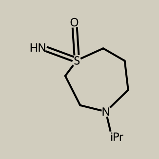 CC(C)N1CCCS(=N)(=O)CC1